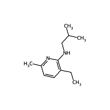 CCc1ccc(C)nc1NCC(C)C